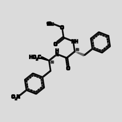 CC(C)(C)OC(=O)N[C@H](Cc1ccccc1)C(=O)N[C@@H](Cc1ccc([N+](=O)[O-])cc1)C(=O)O